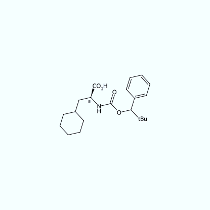 CC(C)(C)C(OC(=O)N[C@@H](CC1CCCCC1)C(=O)O)c1ccccc1